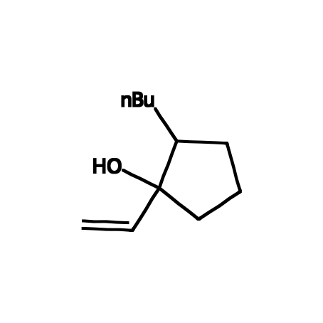 C=CC1(O)CCCC1CCCC